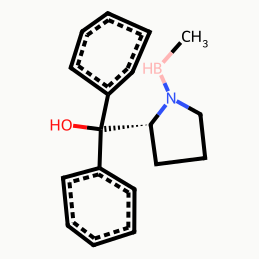 CBN1CCC[C@@H]1C(O)(c1ccccc1)c1ccccc1